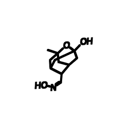 CC12CC3CC(O)(CC(C1)C3/C=N\O)O2